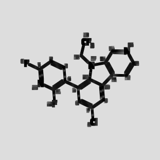 Fc1ccc(-c2cc(Cl)cc3c4ccncc4n(CC(F)(F)F)c23)c(F)n1